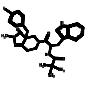 CN1N=C2CCN(C(=O)C(Cc3c[nH]c4ccccc34)NC(=O)C(C)(C)N)CC2(Cc2ccc(F)cc2)C1=O